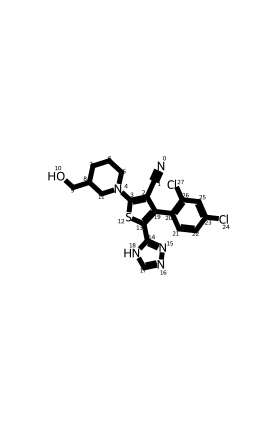 N#Cc1c(N2CCCC(CO)C2)sc(-c2nnc[nH]2)c1-c1ccc(Cl)cc1Cl